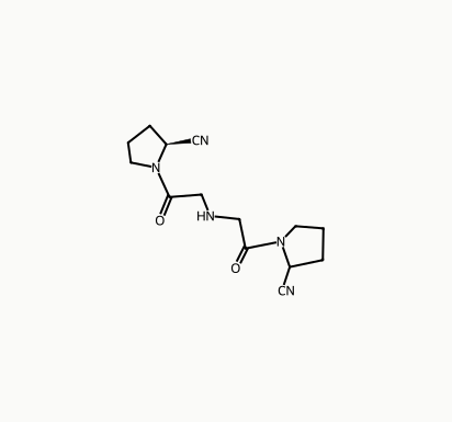 N#CC1CCCN1C(=O)CNCC(=O)N1CCC[C@H]1C#N